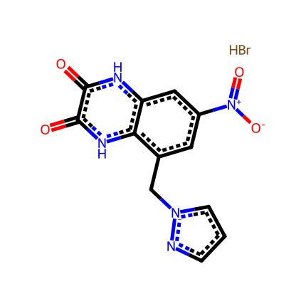 Br.O=c1[nH]c2cc([N+](=O)[O-])cc(Cn3cccn3)c2[nH]c1=O